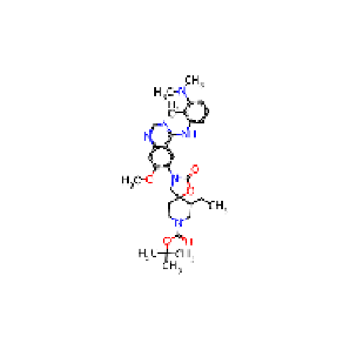 CCC1CN(C(=O)OC(C)(C)C)CCC12CN(c1cc3c(Nc4cccc(N(C)C)c4C)ncnc3cc1OC)C(=O)O2